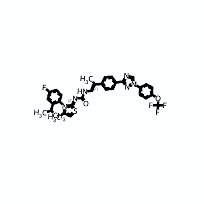 C/C(=C\NC(=O)/N=c1\scc(C)n1-c1ccc(F)cc1C(C)C)c1ccc(-c2ncn(-c3ccc(OC(F)(F)F)cc3)n2)cc1